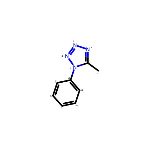 Cc1nnnn1-c1[c]cccc1